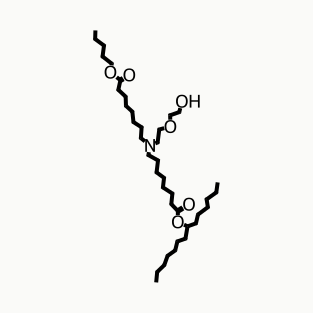 CCCCCCCC(CCCCCC)OC(=O)CCCCCCCN(CCCCCCCC(=O)OCCCCC)CCOCCO